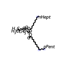 CCCCC/C=C\C/C=C\CCCCCCCCCC(=O)OC[C@H](COP(=O)([O-])OCC[N+](C)(C)C)OC(=O)CCCCCCC/C=C\CCCCCCC